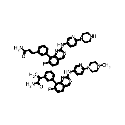 C=C(C(N)=O)c1cccc(-c2c(F)ccc3cnc(Nc4ccc(N5CCN(C)CC5)nc4)nc23)c1.NC(=O)C=Cc1cccc(-c2c(F)ccc3cnc(Nc4ccc(N5CCNCC5)nc4)nc23)c1